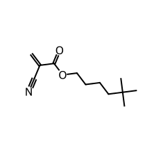 C=C(C#N)C(=O)OCCCCC(C)(C)C